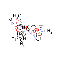 CCCC[C@H](NC(=O)[C@@H]1[C@@H]2[C@H](CN1C(=O)[C@@H](NC(=O)NC1(CS(=O)(=O)N(CC)C3CC3)CCCCC1)C1(C)CCCCC1)C2(C)C)C(=O)C(=O)NC1CC1